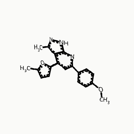 COc1ccc(-c2cc(-c3ccc(C)o3)c3c(C)n[nH]c3n2)cc1